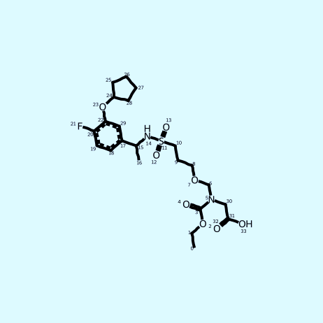 CCOC(=O)N(COCCCS(=O)(=O)NC(C)c1ccc(F)c(OC2CCCC2)c1)CC(=O)O